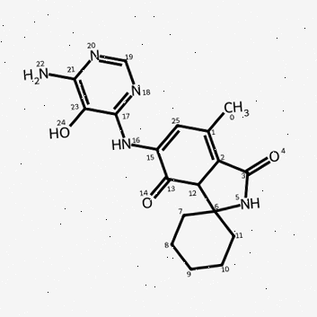 CC1=C2C(=O)NC3(CCCCC3)C2C(=O)C(Nc2ncnc(N)c2O)=C1